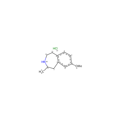 COc1ccc2c(c1)CC(C)NCC2.Cl